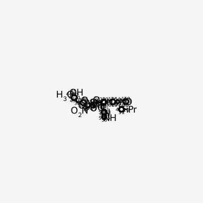 CC(C)c1ccccc1[C@H]1COCCN1C1CC2(CCN(c3ccc(C(=O)NS(=O)(=O)c4cc([N+](=O)[O-])c5c(n4)OC[C@H](CC4CCC(C)(O)CC4)O5)c(Oc4cnc5[nH]ccc5c4)c3)CC2)C1